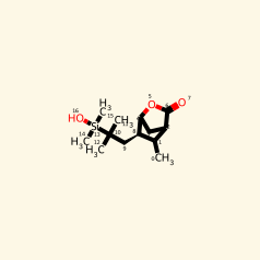 CC1C2CC(OC2=O)[C@@H]1CC(C)(C)[Si](C)(C)O